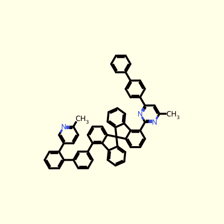 Cc1ccc(-c2ccccc2-c2cccc(-c3cccc4c3-c3ccccc3C43c4ccccc4-c4c(-c5nc(C)cc(-c6ccc(-c7ccccc7)cc6)n5)cccc43)c2)cn1